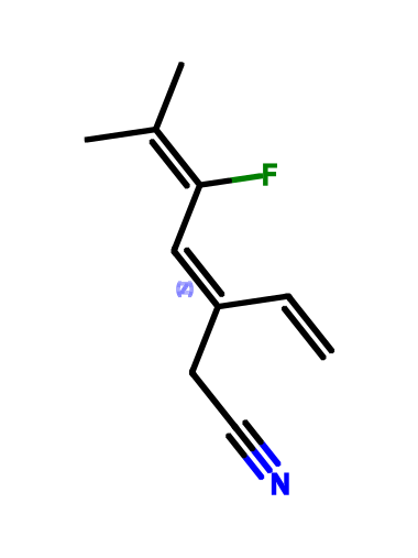 C=C/C(=C\C(F)=C(C)C)CC#N